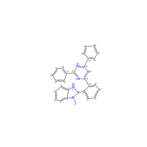 CN1c2ccccc2NC1c1ccccc1-c1nc(-c2ccccc2)nc(-c2ccccc2)n1